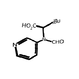 CCC(C)C(C(=O)O)N(C=O)c1cccnc1